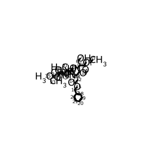 CCOC(=O)[C@H](CO)NC(=O)[C@H](CC(=O)OCc1ccccc1)NC(=O)[C@H](C)NC(=O)OC(C)(C)C